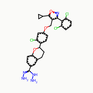 N/N=C(\NN)c1ccc2c(c1)CCC(c1ccc(OCc3c(-c4c(Cl)cccc4Cl)noc3C3CC3)cc1Cl)O2